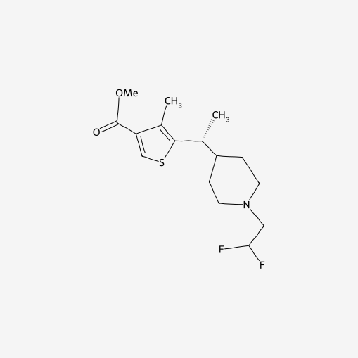 COC(=O)c1csc([C@H](C)C2CCN(CC(F)F)CC2)c1C